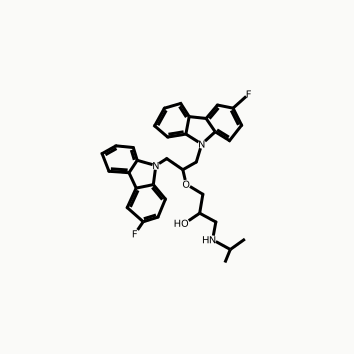 CC(C)NCC(O)COC(Cn1c2ccccc2c2cc(F)ccc21)Cn1c2ccccc2c2cc(F)ccc21